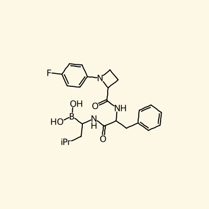 CC(C)CC(NC(=O)C(Cc1ccccc1)NC(=O)C1CCN1c1ccc(F)cc1)B(O)O